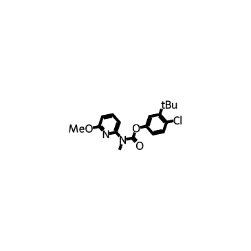 COc1cccc(N(C)C(=O)Oc2ccc(Cl)c(C(C)(C)C)c2)n1